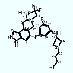 C[C@@H]1Cc2c(ccc3[nH]ncc23)[C@@H](c2c(F)cc(NC3CN(CCCI)C3)cc2F)N1CC(F)(F)F